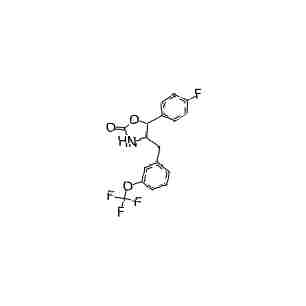 O=C1NC(Cc2cccc(OC(F)(F)F)c2)C(c2ccc(F)cc2)O1